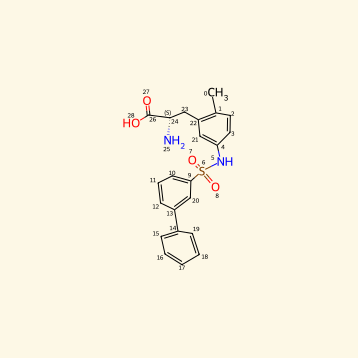 Cc1ccc(NS(=O)(=O)c2cccc(-c3ccccc3)c2)cc1C[C@H](N)C(=O)O